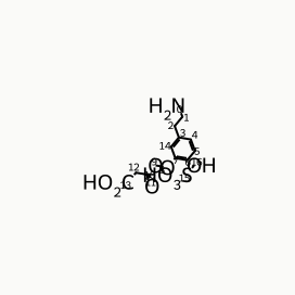 NCCc1cccc(OOC(=O)CC(=O)O)c1.O=S(=O)(O)O